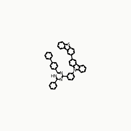 N=C(/N=C(\N=C\c1ccc(-c2ccccc2)cc1)c1cccc(-n2c3ccccc3c3cc(-c4ccc5sc6ccccc6c5c4)ccc32)c1)c1ccccc1